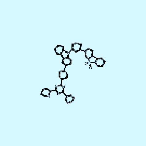 O=S1(=O)c2ccccc2-c2ccc(-c3cccc(-n4c5ccccc5c5cc(-c6ccc(-c7nc(-c8ccccn8)nc(-c8ccccn8)n7)cc6)ccc54)c3)cc21